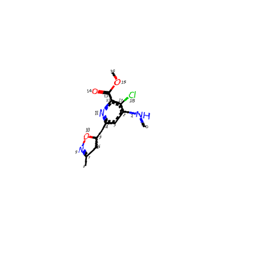 CNc1cc(C2CC(C)=NO2)nc(C(=O)OC)c1Cl